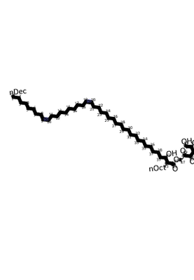 CCCCCCCCCCCCCCCCCC/C=C\CCCCCCCC/C=C\CCCCCCCCCCCCCCCCCCC[C@@H](O)[C@@H](CCCCCCCC)C(=O)OC[C@@H]1O[C@@H](O)[C@H](O)[C@@H](O)[C@@H]1O